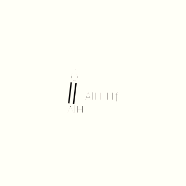 [AlH3].[Hf].[O]=[AlH]